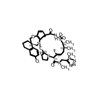 C[C@@H]1[C@@H](C)C/C=C(\F)[C@H](C(=O)N(C)Cc2nnnn2C)N2CCC[C@H]2CN2C[C@@]3(CCCc4cc(Cl)ccc43)COc3ccc(cc32)C(=O)NS1(=O)=O